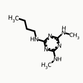 CCCCNc1nc(NC)nc(NC)n1